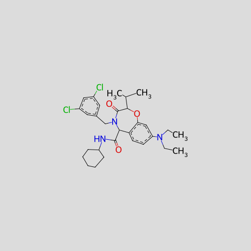 CCN(CC)c1ccc2c(c1)OC(C(C)C)C(=O)N(Cc1cc(Cl)cc(Cl)c1)C2C(=O)NC1CCCCC1